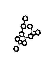 c1ccc(-c2ccc(-c3cccc(N(c4ccc5c6ccccc6n(-c6ccccc6)c5c4)c4cccc5c4c4ccccc4n5-c4ccccc4)c3)cc2)cc1